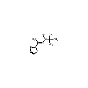 C/C(=N\[S+]([O-])C(C)(C)C)c1nccs1